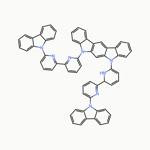 C1=CC(c2cccc(-n3c4ccccc4c4ccccc43)n2)NC(n2c3ccccc3c3cc4c5ccccc5n(-c5cccc(-c6cccc(-n7c8ccccc8c8ccccc87)n6)n5)c4cc32)=C1